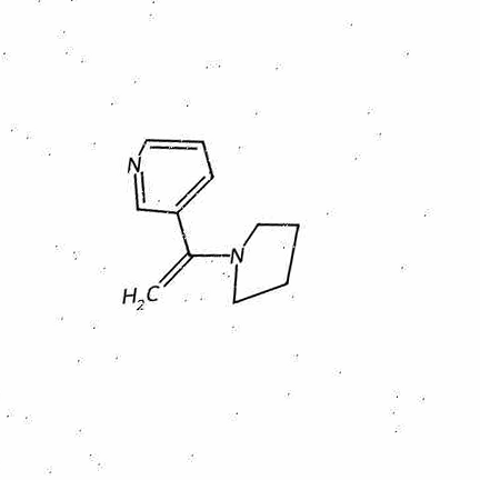 C=C(c1cccnc1)N1CCCC1